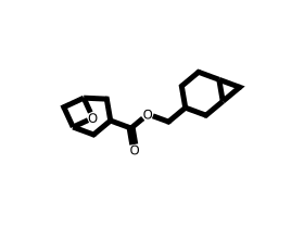 O=C(OCC1CCC2CC2C1)C1CC2CC(C1)O2